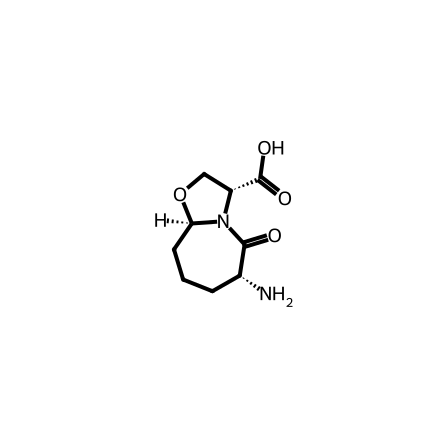 N[C@@H]1CCC[C@H]2OC[C@H](C(=O)O)N2C1=O